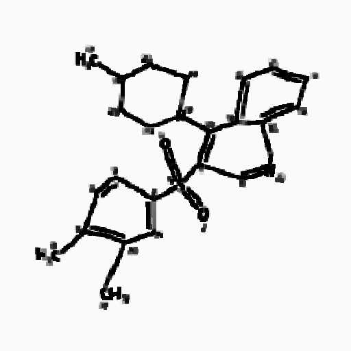 Cc1ccc(S(=O)(=O)c2cnc3ccccc3c2N2CCC(C)CC2)cc1C